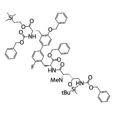 CN[C@@H](C[C@H](CNC(=O)OCc1ccccc1)O[Si](C)(C)C(C)(C)C)C(=O)N[C@@H](Cc1cc(-c2ccc(OCc3ccccc3)c(C[C@H](NC(=O)OCc3ccccc3)C(=O)OCC[Si](C)(C)C)c2)ccc1F)C(=O)OCc1ccccc1